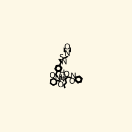 CCCC(NC(=O)C1(NC(=O)c2ccc(-c3csc(CN4CCOCC4)n3)cc2)CCCCC1)C(=O)c1nc2ccccc2o1